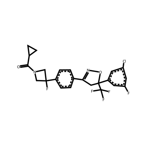 O=C(C1CC1)N1CC(F)(c2ccc(C3=NOC(c4cc(F)cc(Cl)c4)(C(F)(F)F)C3)cc2)C1